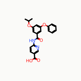 CC(C)Oc1cc(Oc2ccccc2)cc(C(=O)Nc2ccc(C(=O)O)cn2)c1